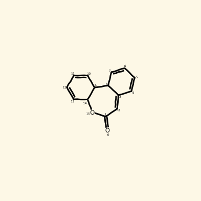 O=C1[C]=C2C=CC=CC2C2C=CC=CC2O1